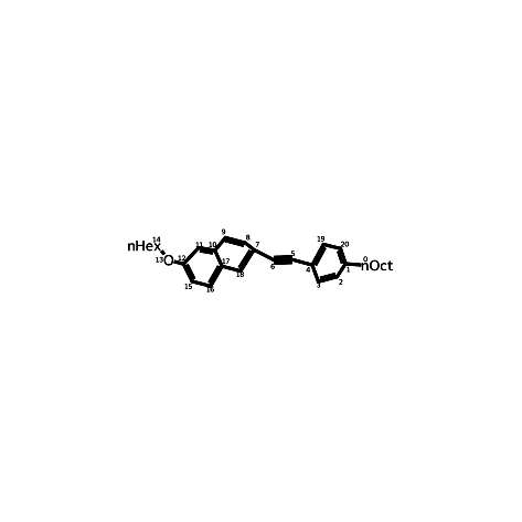 CCCCCCCCc1ccc(C#Cc2ccc3cc(OCCCCCC)ccc3c2)cc1